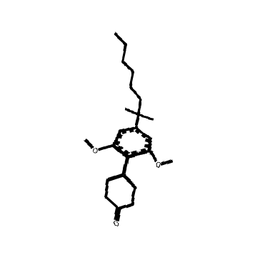 CCCCCCC(C)(C)c1cc(OC)c(C2CCC(=O)CC2)c(OC)c1